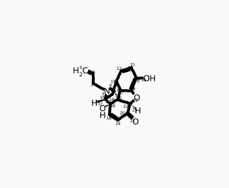 C=CCN1CC[C@@]23C4C5=C(O)C=CC4C[C@@H]1[C@]2(O)C=CC(=O)[C@@H]3O5